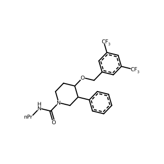 CCCNC(=O)N1CCC(OCc2cc(C(F)(F)F)cc(C(F)(F)F)c2)C(c2ccccc2)C1